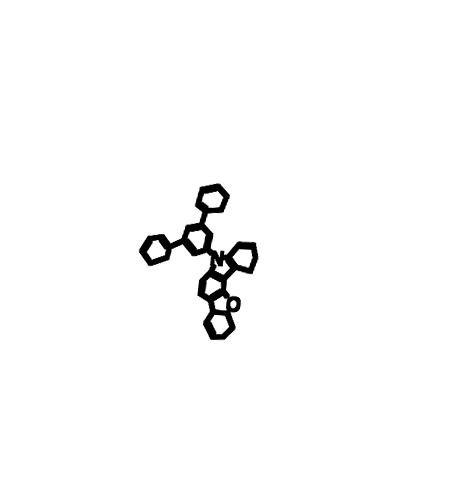 C1=CCCC(c2cc(C3=CC=CCC3)cc(-n3c4c(c5c6c(ccc53)C3C=CCCC3O6)CCC=C4)c2)=C1